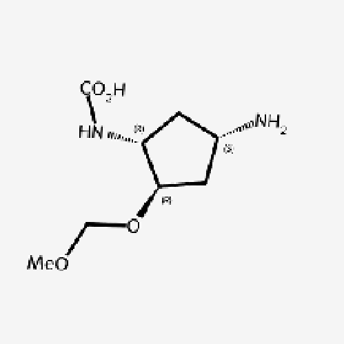 COCO[C@@H]1C[C@@H](N)C[C@H]1NC(=O)O